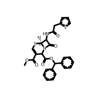 COC(=O)C1=CS[C@H]2C(NC(=O)Cc3cccs3)C(=O)N2C1C(=O)OC(c1ccccc1)c1ccccc1